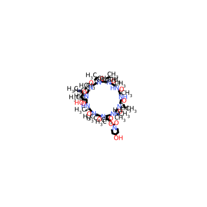 C/C=C/C[C@@H](C)[C@@H](O)[C@H]1C(=O)N[C@@H](CC)C(=O)N(C)[C@H](C)C(=O)N(C)[C@@H]([C@H](C)COC(=O)N2CCC(O)CC2)C(=O)N[C@@H](C(C)C)C(=O)N(C)[C@@H](CC(C)C)C(=O)N[C@@H](C)C(=O)N[C@H](C)C(=O)N(C)[C@@H](CC(C)C)C(=O)N(C)[C@@H](CC(C)C)C(=O)N(C)[C@@H](C(C)C)C(=O)N1C